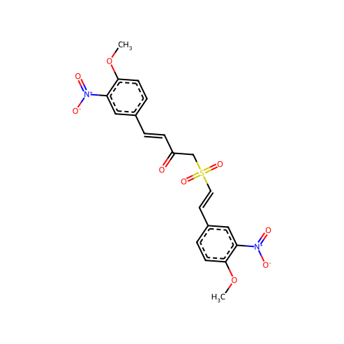 COc1ccc(C=CS(=O)(=O)CC(=O)/C=C/c2ccc(OC)c([N+](=O)[O-])c2)cc1[N+](=O)[O-]